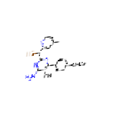 CC(=O)Nc1ccc(-c2nc(C(S)c3cc(C)ccn3)nc(N)c2C#N)cc1